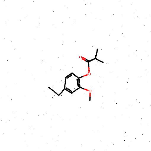 CCc1ccc(OC(=O)C(C)C)c(OC)c1